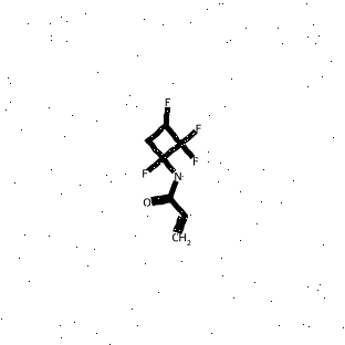 C=CC(=O)[N]C1(F)CC(F)C1(F)F